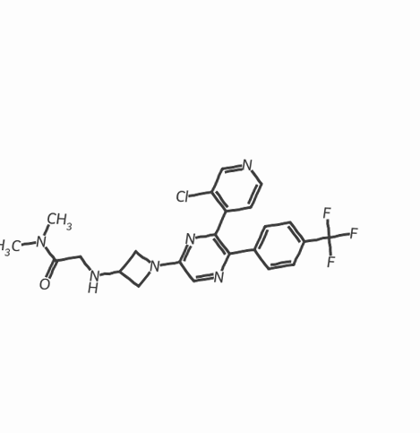 CN(C)C(=O)CNC1CN(c2cnc(-c3ccc(C(F)(F)F)cc3)c(-c3ccncc3Cl)n2)C1